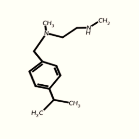 CNCCN(C)Cc1ccc(C(C)C)cc1